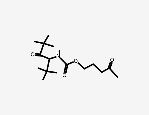 CC(=O)CCCOC(=O)NC(C(=O)C(C)(C)C)C(C)(C)C